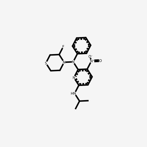 CC(C)Nc1ccc([N+](=O)[O-])c(N(c2ccccc2)N2CCSCC2F)n1